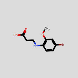 COc1cc(Br)ccc1NCCC(=O)O